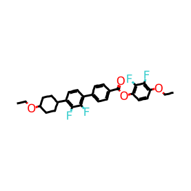 CCOc1ccc(OC(=O)c2ccc(-c3ccc(C4CCC(OCC)CC4)c(F)c3F)cc2)c(F)c1F